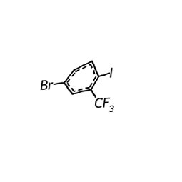 FC(F)(F)c1cc(Br)ccc1I